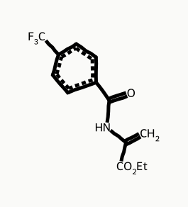 C=C(NC(=O)c1ccc(C(F)(F)F)cc1)C(=O)OCC